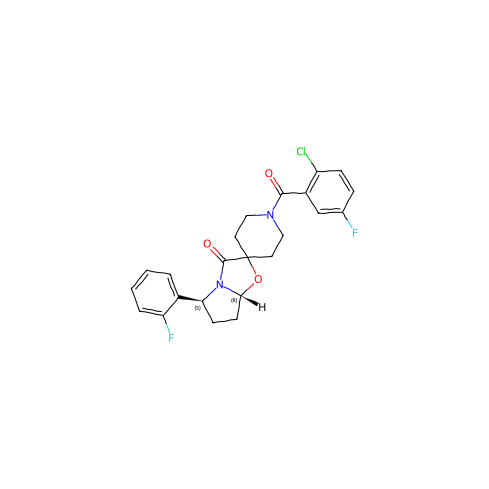 O=C(c1cc(F)ccc1Cl)N1CCC2(CC1)O[C@@H]1CC[C@@H](c3ccccc3F)N1C2=O